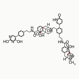 CN1CC[C@]23CC(=O)CC[C@@]2(O)[C@H]1Cc1ccc(C(=O)NCCc2ccc(-c4ccc(=O)[nH]c4)c(CN4CC[C@]56CC(=O)CC[C@@]5(O)[C@H]4Cc4ccc(C(=O)NCCc5ccc(-c7cnc(O)nc7O)cc5)c(O)c46)c2)c(O)c13